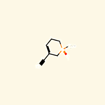 C#CC1=CCCP(=O)(OC)C1